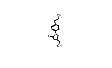 CCCc1ccc(N2CC(CO)CC2=O)cc1